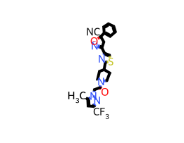 Cc1cc(C(F)(F)F)nn1CC(=O)N1CCC(c2nc(C3=NO[C@@](C#N)(c4ccccc4)C3)cs2)CC1